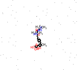 Cc1ccc(C2OC[C@@H](O)[C@H](O)[C@H]2O)cc1Cc1ccc(CCCC(=O)NC(C)(C)C(=O)NCCN(C)C)cc1